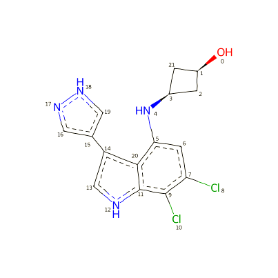 O[C@H]1C[C@@H](Nc2cc(Cl)c(Cl)c3[nH]cc(-c4cn[nH]c4)c23)C1